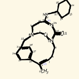 C/C1=C/CCN2CCN(CC/C(NC3CCCCC3)=N\C2=O)Cc2ccc1cc2